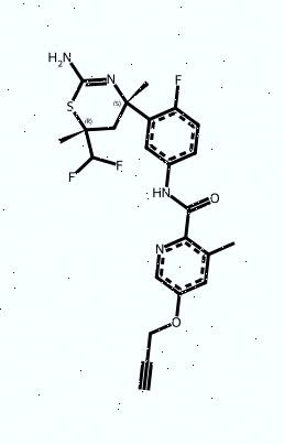 C#CCOc1cnc(C(=O)Nc2ccc(F)c([C@]3(C)C[C@](C)(C(F)F)SC(N)=N3)c2)c(C)c1